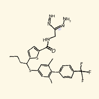 CCCC(Sc1cc(C)c(-c2ccc(C(F)(F)F)cc2)c(C)c1)c1ccc(C(=O)NC/C(N=N)=N/N)s1